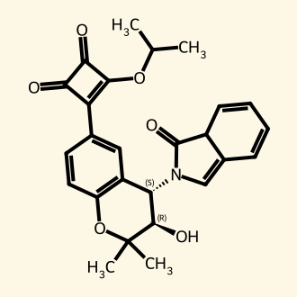 CC(C)Oc1c(-c2ccc3c(c2)[C@H](N2C=C4C=CC=CC4C2=O)[C@@H](O)C(C)(C)O3)c(=O)c1=O